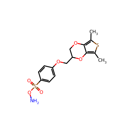 Cc1sc(C)c2c1OCC(COc1ccc(S(=O)(=O)ON)cc1)O2